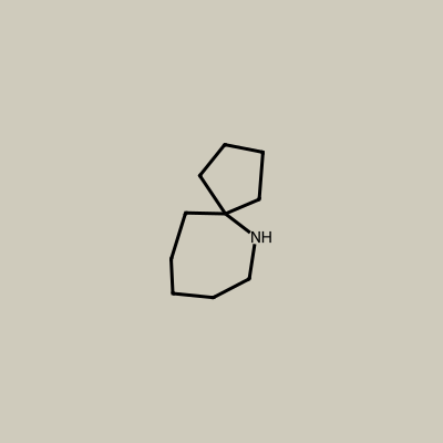 C1CCNC2(CC1)CCCC2